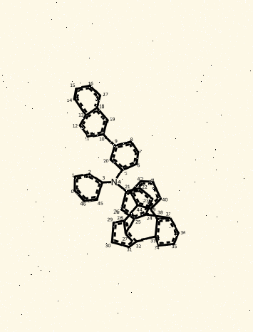 c1ccc(N(c2cccc(-c3ccc4ccccc4c3)c2)c2ccc3c(c2)-c2c4cccc2-c2cccc-3c2-c2ccccc2-4)cc1